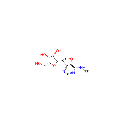 CC(C)Nc1ncnc2c([C@@H]3O[C@H](CO)[C@@H](O)[C@H]3O)coc12